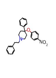 O=[N+]([O-])c1ccc(OC2(c3ccccc3)CCN(CCc3ccccc3)CC2)cc1